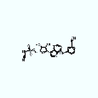 C#Cc1cccc(Nc2ncnc3c2ncn3[C@@H]2O[C@H](COS(=O)(=O)NC#N)[C@@H](O)[C@H]2O)c1